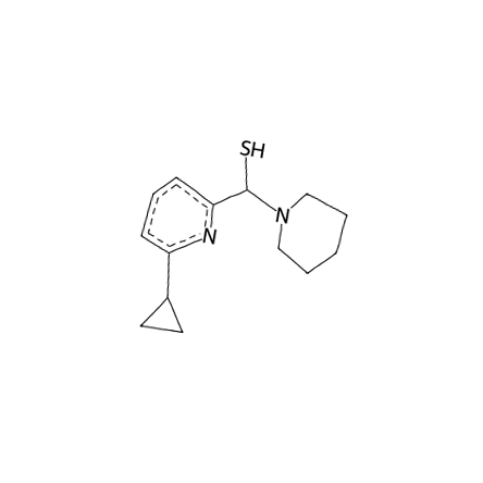 SC(c1cccc(C2CC2)n1)N1CCCCC1